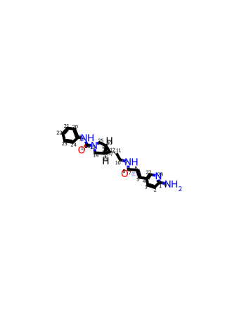 Nc1ccc(/C=C/C(=O)NCC[C@@H]2[C@H]3CN(C(=O)Nc4ccccc4)C[C@@H]23)cn1